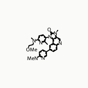 CNc1ccc(-c2ccc3ncc4c(c3c2)n(-c2ccc(N(C)CCOC)nc2C)c(=O)n4C)cn1